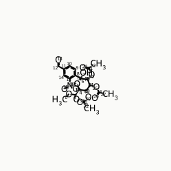 COC(=O)[C@H]1O[C@](O)(c2ccc(C=O)cc2[N+](=O)[O-])[C@H](OC(C)=O)[C@@H](OC(C)=O)[C@@H]1OC(C)=O